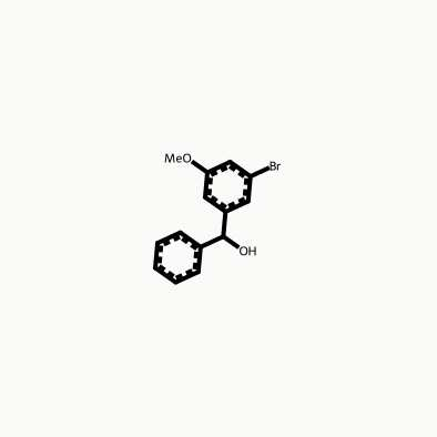 COc1cc(Br)cc(C(O)c2ccccc2)c1